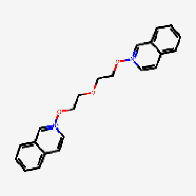 c1ccc2c[n+](OCCOCCO[n+]3ccc4ccccc4c3)ccc2c1